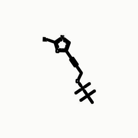 CC(C)(C)[Si](C)(C)OCC#Cc1cnc(Br)o1